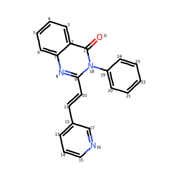 O=c1c2ccccc2nc(C=Cc2cccnc2)n1-c1ccccc1